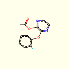 CC(=O)Oc1nccnc1Oc1ccccc1F